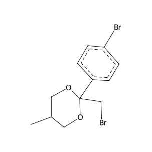 CC1COC(CBr)(c2ccc(Br)cc2)OC1